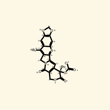 B[C@@]1(OC(=O)Cl)C(=O)OCc2c1cc1n(c2=O)Cc2c-1nc1cc3c(cc1c2CCCC)OCO3